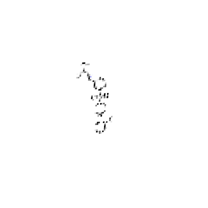 O=C(O)/C=C/c1cccc(S(=O)(=O)N2CCN(c3ccccc3Cl)CC2)c1